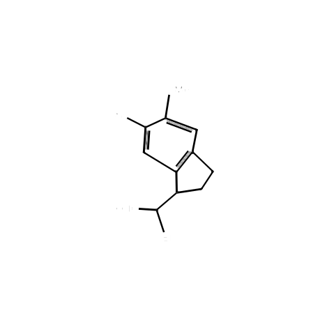 CCC(C=O)C1CCc2cc(OC)c(C(C)=O)cc21